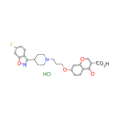 Cl.O=C(O)c1coc2cc(OCCCN3CCC(c4noc5cc(F)ccc45)CC3)ccc2c1=O